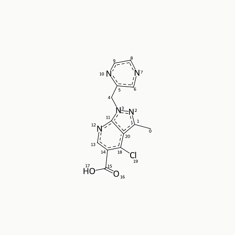 Cc1nn(Cc2cnccn2)c2ncc(C(=O)O)c(Cl)c12